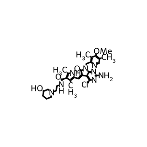 COc1c(C)cnc(CN2C(=O)C(=Cc3[nH]c(C)c(C(=O)NCCN4CCCC(O)C4)c3C)c3c(Cl)nc(N)nc32)c1C